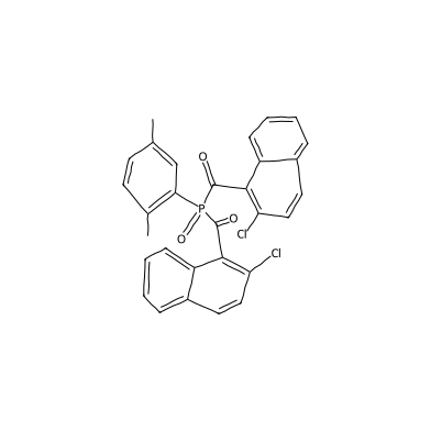 Cc1ccc(C)c(P(=O)(C(=O)c2c(Cl)ccc3ccccc23)C(=O)c2c(Cl)ccc3ccccc23)c1